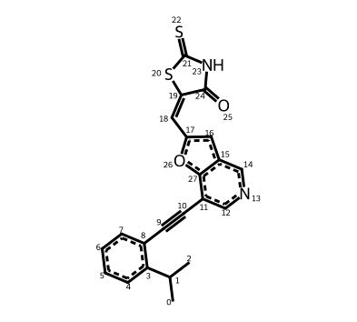 CC(C)c1ccccc1C#Cc1cncc2cc(C=C3SC(=S)NC3=O)oc12